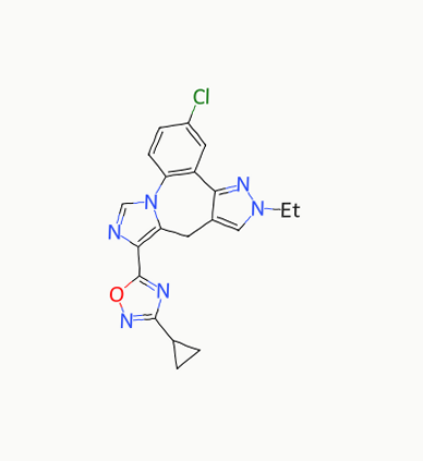 CCn1cc2c(n1)-c1cc(Cl)ccc1-n1cnc(-c3nc(C4CC4)no3)c1C2